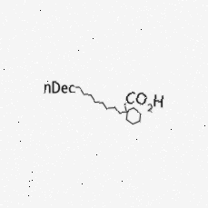 CCCCCCCCCCCCCCCCCCC1(CC(=O)O)CCCCC1